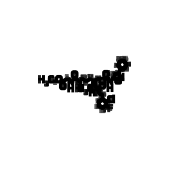 CCOC(=O)CNC(=O)NCCC[C@@H](COC(=O)Nc1cc(-c2ccccc2)no1)N(C)C(=O)NCc1cccc(F)c1Cl